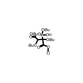 CC(C)COC(=O)C(OCC(C)C)C(OCC(C)C)(C(=O)OCl)P(=O)(O)OCC(C)C